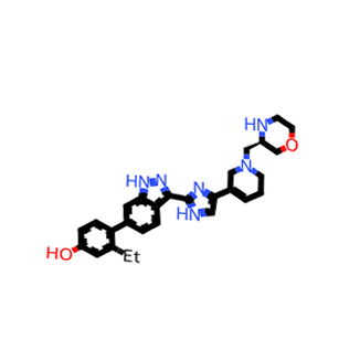 CCc1cc(O)ccc1-c1ccc2c(-c3nc(C4=CCCN(C[C@@H]5COCCN5)C4)c[nH]3)n[nH]c2c1